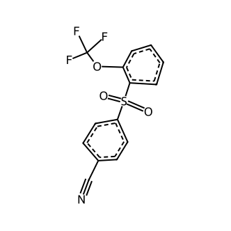 N#Cc1ccc(S(=O)(=O)c2ccccc2OC(F)(F)F)cc1